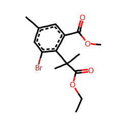 CCOC(=O)C(C)(C)c1c(Br)cc(C)cc1C(=O)OC